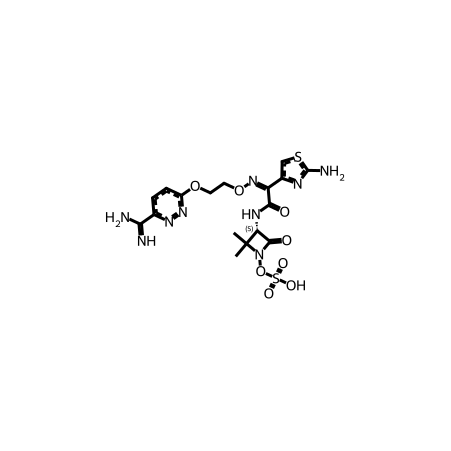 CC1(C)[C@H](NC(=O)C(=NOCCOc2ccc(C(=N)N)nn2)c2csc(N)n2)C(=O)N1OS(=O)(=O)O